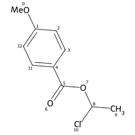 COc1ccc(C(=O)OC(C)Cl)cc1